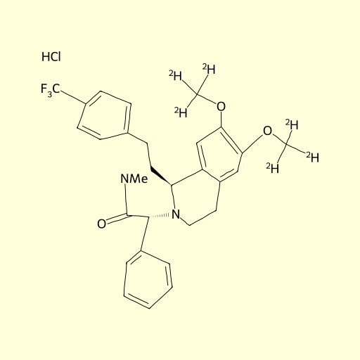 Cl.[2H]C([2H])([2H])Oc1cc2c(cc1OC([2H])([2H])[2H])[C@H](CCc1ccc(C(F)(F)F)cc1)N([C@@H](C(=O)NC)c1ccccc1)CC2